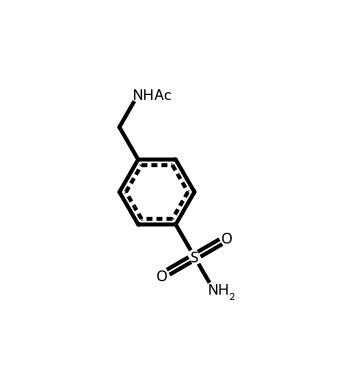 CC(=O)NCc1ccc(S(N)(=O)=O)cc1